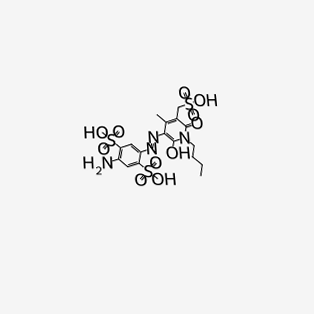 CCCCn1c(O)c(N=Nc2cc(S(=O)(=O)O)c(N)cc2S(=O)(=O)O)c(C)c(CS(=O)(=O)O)c1=O